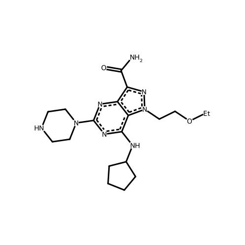 CCOCCn1nc(C(N)=O)c2nc(N3CCNCC3)nc(NC3CCCC3)c21